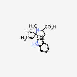 C=CC(C)(C)N(C)C(Cc1c[nH]c2ccccc12)C(=O)O